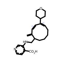 C=C1/C=C\C(C2CCOCC2)=C/CCCCC1CNc1cnccc1C(=O)O